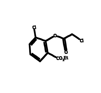 CCOC(=O)c1cccc(Cl)c1OC(=O)CCl